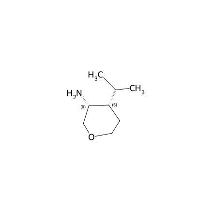 CC(C)[C@@H]1CCOC[C@@H]1N